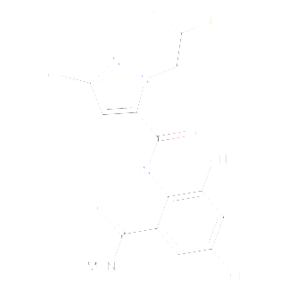 CNC(=O)c1cc(Cl)cc(C)c1NC(=O)c1cc(Cl)nn1CC(F)F